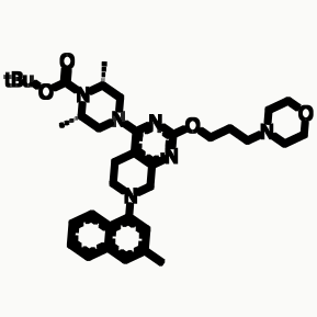 Cc1cc(N2CCc3c(nc(OCCCN4CCOCC4)nc3N3C[C@@H](C)N(C(=O)OC(C)(C)C)[C@@H](C)C3)C2)c2ccccc2c1